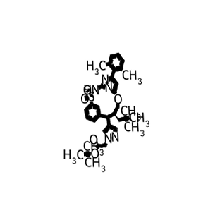 Cc1cccc(C)c1-c1cc2nc(n1)NS(=O)(=O)c1cccc(c1)C(c1cnn(CC(=O)OC(C)(C)C)c1)[C@H](CC(C)(C)C)CO2